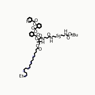 CC/C=C\C/C=C\C/C=C\C/C=C/C/C=C/CCCC(=O)OCC(C)(C)[C@@H](OC(=O)c1ccccc1OC(=O)c1ccccc1OC(=O)c1cccnc1)C(=O)NCCC(=O)NCCSSCCNC(=O)OC(C)(C)C